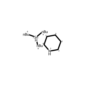 C1CCNCC1.CCC[CH2][SnH]([CH2]CCC)[CH2]CCC